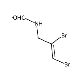 O=[C]NCC(Br)=CBr